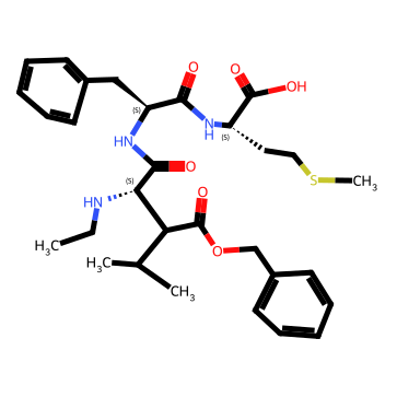 CCN[C@H](C(=O)N[C@@H](Cc1ccccc1)C(=O)N[C@@H](CCSC)C(=O)O)C(C(=O)OCc1ccccc1)C(C)C